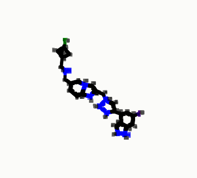 FC12CC(CNCc3ccc4nc(Cn5cc(-c6cc(I)cc7[nH]ncc67)nn5)cn4c3)(C1)C2